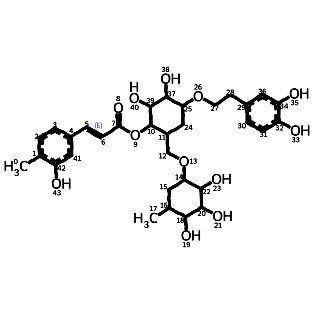 Cc1ccc(/C=C/C(=O)OC2C(COC3CC(C)C(O)C(O)C3O)CC(OCCc3ccc(O)c(O)c3)C(O)C2O)cc1O